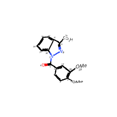 COc1ccc(C(=O)n2nc(C(=O)O)c3ccccc32)cc1OC